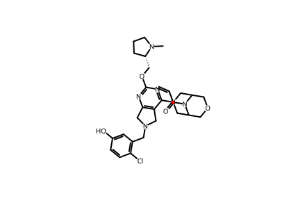 C=CC(=O)N1C2COCC1CN(c1nc(OC[C@@H]3CCCN3C)nc3c1CN(Cc1cc(O)ccc1Cl)C3)C2